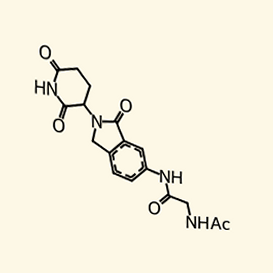 CC(=O)NCC(=O)Nc1ccc2c(c1)C(=O)N(C1CCC(=O)NC1=O)C2